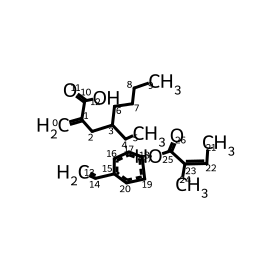 C=C(CC(CC)CCCC)C(=O)O.C=Cc1ccccc1.CC=C(C)C(=O)O